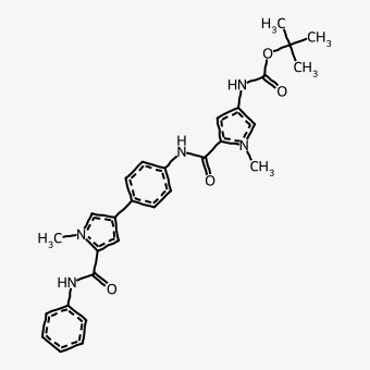 Cn1cc(NC(=O)OC(C)(C)C)cc1C(=O)Nc1ccc(-c2cc(C(=O)Nc3ccccc3)n(C)c2)cc1